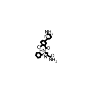 NC(=O)c1cc(NC(=O)c2cc(-c3cccc(N)n3)ccc2Cl)n(-c2ccccc2)n1